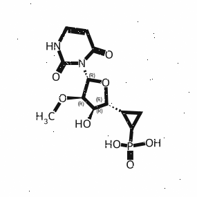 CO[C@@H]1[C@H](O)[C@@H](C2CC2P(=O)(O)O)O[C@H]1n1c(=O)cc[nH]c1=O